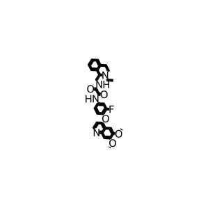 CCN1CCc2ccccc2C1CNC(=O)C(=O)Nc1ccc(Oc2ccnc3cc(OC)c(OC)cc23)c(F)c1